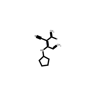 C=C/C(NC1CCCC1)=C(/C#N)C(=C)F